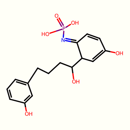 O=P(O)(O)N=C1C=CC(O)=CC1C(O)CCCc1cccc(O)c1